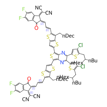 [C-]#[N+]/C(C#N)=C1/C(=C/C=C/c2sc3cc(-c4sc(-c5cc6sc(/C=C/C=C7\C(=O)c8cc(F)c(F)cc8C7=C(C#N)C#N)c(CCCCCCCCCCC)c6s5)c5nc(-c6cc(Cl)c(CC(CCCC)CCCCCC)s6)c(-c6cc(Cl)c(CC(CCCC)CCCCCC)s6)nc45)sc3c2CCCCCCCCCCC)C(=O)c2cc(F)c(F)cc21